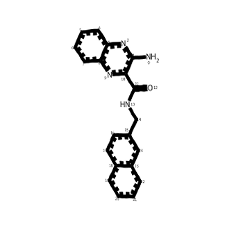 Nc1nc2ccccc2nc1C(=O)NCc1ccc2ccccc2c1